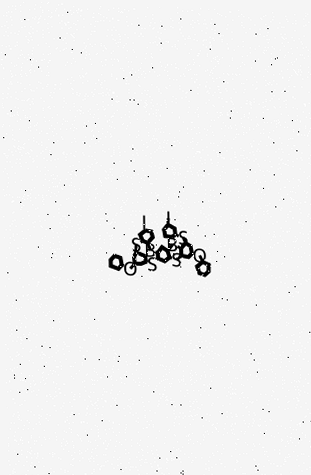 Ic1ccc2c(c1)Sc1cc(Oc3ccccc3)cc3c1B2c1cc2c(cc1S3)Sc1cc(Oc3ccccc3)cc3c1B2c1ccc(I)cc1S3